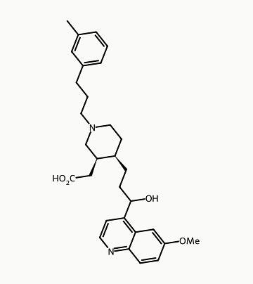 COc1ccc2nccc(C(O)CC[C@@H]3CCN(CCCc4cccc(C)c4)C[C@@H]3CC(=O)O)c2c1